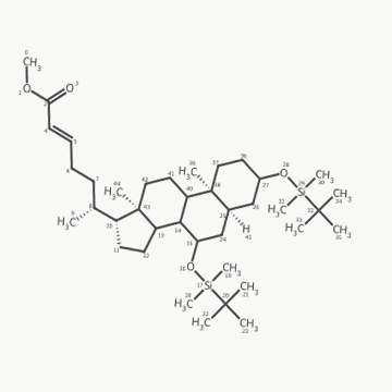 COC(=O)/C=C/CC[C@@H](C)[C@H]1CCC2C3C(O[Si](C)(C)C(C)(C)C)C[C@@H]4CC(O[Si](C)(C)C(C)(C)C)CC[C@]4(C)C3CC[C@@]21C